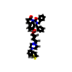 O=C(N(Cc1ccccc1)Cc1ccccc1)n1c(=O)ccc2ccc(OCCCCN3CCN(c4cccc5sccc45)CC3)cc21